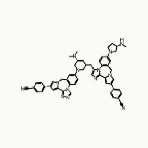 CN[C@@H]1CCN(c2ccc3c(c2)Cn2cc(-c4ccc(C#N)cc4)cc2-c2ncc(CC4C[C@@H](N(C)C)CN(c5ccc6c(c5)Cn5cc(-c7ccc(C#N)cc7)cc5-c5nncn5-6)C4)n2-3)C1